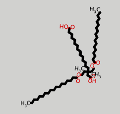 CCCCCCCCCCCCCCCCCC(=O)OCC(C)C(CCCCCC=CCCCCCCCC(=O)O)(CC(=O)O)C(C)COC(=O)CCCCCCCCCCCCCCCCC